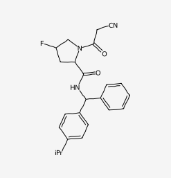 CC(C)c1ccc(C(NC(=O)C2CC(F)CN2C(=O)CC#N)c2ccccc2)cc1